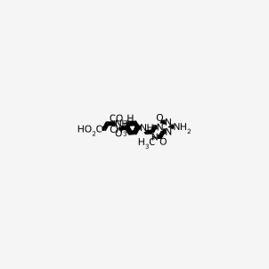 CN1C(=O)c2nc(N)nc(=O)n2CC1CNc1ccc(C(=O)N[C@@](C)(CCC(=O)O)C(=O)O)cc1